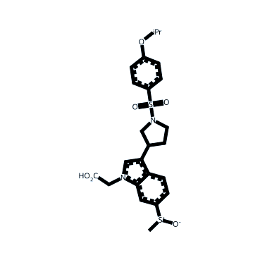 CC(C)Oc1ccc(S(=O)(=O)N2CCC(c3cn(CC(=O)O)c4cc([S+](C)[O-])ccc34)C2)cc1